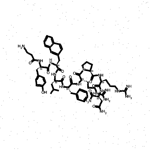 CC(C)C[C@H](NC(=O)[C@H](Cc1ccc2ccccc2c1)NC(=O)[C@H](Cc1ccc(O)cc1)NC(=O)CCN)C(=O)N[C@@H](Cc1ccccc1)C(=O)N[C@@H](CCCNC(=N)N)C(=O)N1CCC[C@H]1C(=O)N[C@@H](CCCNC(=N)N)C(=O)N[C@@H](CC(N)=O)C(N)=O